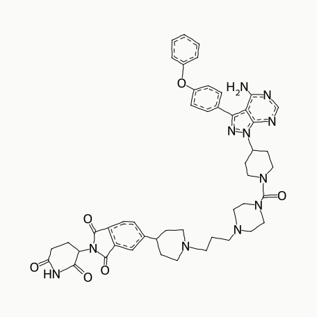 Nc1ncnc2c1c(-c1ccc(Oc3ccccc3)cc1)nn2C1CCN(C(=O)N2CCN(CCCN3CCC(c4ccc5c(c4)C(=O)N(C4CCC(=O)NC4=O)C5=O)CC3)CC2)CC1